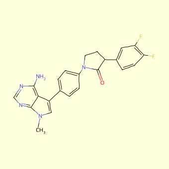 Cn1cc(-c2ccc(N3CCC(c4ccc(F)c(F)c4)C3=O)cc2)c2c(N)ncnc21